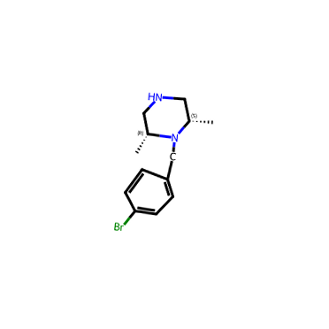 C[C@@H]1CNC[C@H](C)N1Cc1ccc(Br)cc1